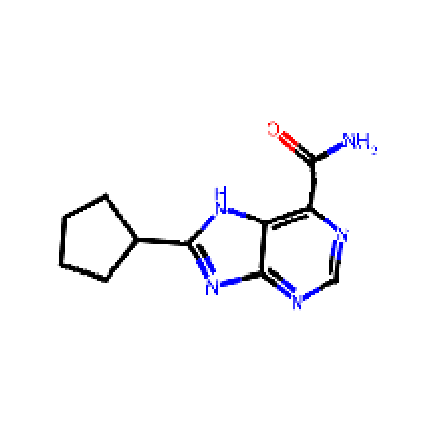 NC(=O)c1ncnc2nc(C3CCCC3)[nH]c12